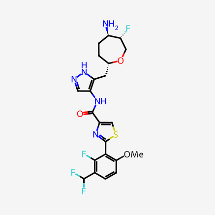 COc1ccc(C(F)F)c(F)c1-c1nc(C(=O)Nc2cn[nH]c2C[C@@H]2CC[C@@H](N)[C@H](F)CO2)cs1